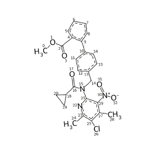 COC(=O)c1ccccc1-c1ccc(CN(C(=O)C2CC2)c2nc(C)c(Cl)c(C)c2[N+](=O)[O-])cc1